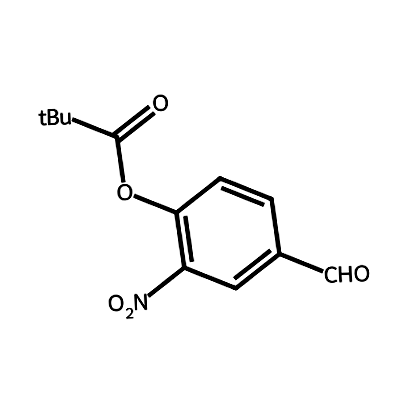 CC(C)(C)C(=O)Oc1ccc(C=O)cc1[N+](=O)[O-]